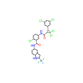 O=C(Nc1ccc2[nH]c(C(F)(F)F)cc2c1)c1cc(NC(=O)C2C(c3cc(Cl)cc(Cl)c3)C2(Cl)Cl)ccc1Cl